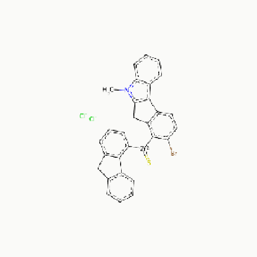 Cn1c2c(c3ccccc31)-c1ccc(Br)[c]([Zr+2](=[S])[c]3cccc4c3-c3ccccc3C4)c1C2.[Cl-].[Cl-]